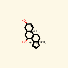 C[C@@]12CC=C[C@H]1C1=C(CC2)[C@@]2(C)C=CC(O)CC2CC1O